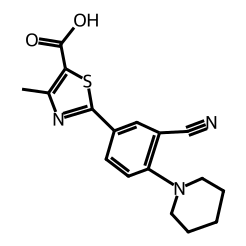 Cc1nc(-c2ccc(N3CCCCC3)c(C#N)c2)sc1C(=O)O